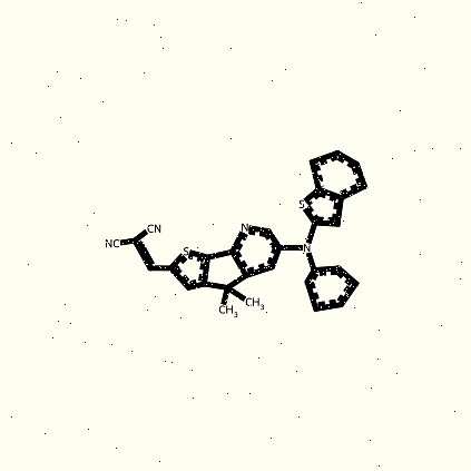 CC1(C)c2cc(N(c3ccccc3)c3cc4ccccc4s3)cnc2-c2sc(C=C(C#N)C#N)cc21